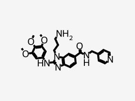 COc1cc(Nc2nc3ccc(C(=O)NCc4ccncc4)cc3n2CCCN)cc(OC)c1OC